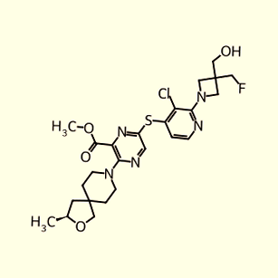 COC(=O)c1nc(Sc2ccnc(N3CC(CO)(CF)C3)c2Cl)cnc1N1CCC2(CC1)CO[C@@H](C)C2